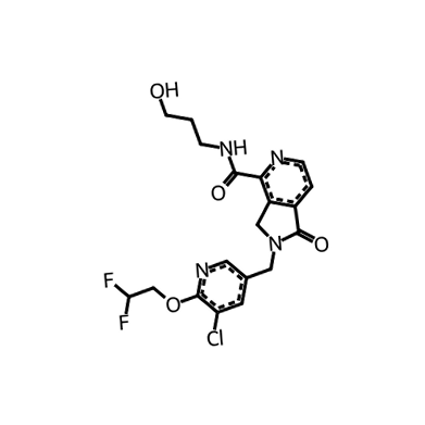 O=C(NCCCO)c1nccc2c1CN(Cc1cnc(OCC(F)F)c(Cl)c1)C2=O